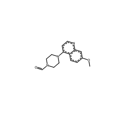 COc1ccc2c(N3CCN(C=O)CC3)ccnc2c1